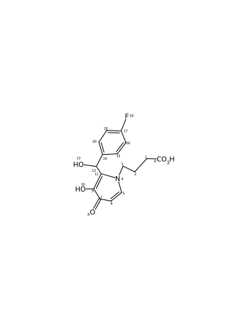 O=C(O)CCCn1ccc(=O)c(O)c1C(O)c1ccc(F)cc1